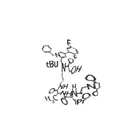 CC(C)[C@H](NC(=O)CN1C(=O)C=CC1=O)C(=O)N[C@@H](C)C(=O)NCCCN(C(=O)CO)[C@@H](c1cc(-c2cc(F)ccc2F)cn1Cc1ccccc1)C(C)(C)C